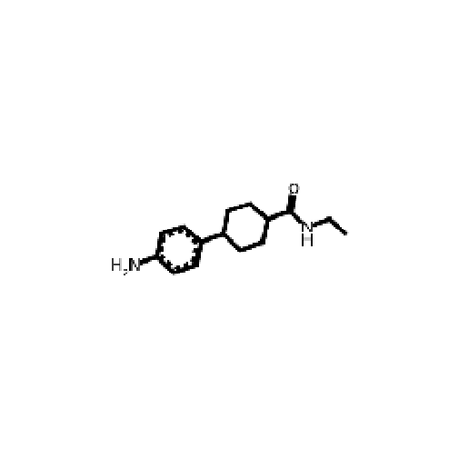 CCNC(=O)C1CCC(c2ccc(N)cc2)CC1